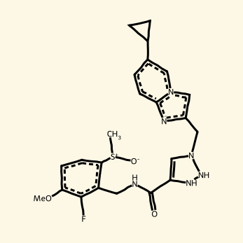 COc1ccc([S+](C)[O-])c(CNC(=O)C2=CN(Cc3cn4cc(C5CC5)ccc4n3)NN2)c1F